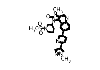 Cn1cc(-c2ccc(-c3ccc4ncc5c(c4c3)n(C3CCCN(S(C)(=O)=O)C3)c(=O)n5C)cn2)cn1